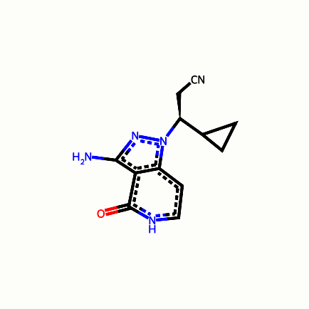 N#CC[C@@H](C1CC1)n1nc(N)c2c(=O)[nH]ccc21